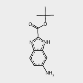 CC(C)(C)OC(=O)c1nc2ccc(N)cc2[nH]1